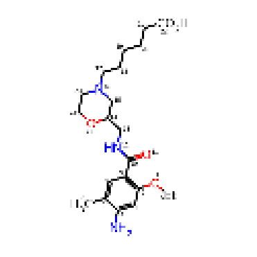 CCOc1cc(N)c(C)cc1C(=O)NCC1CN(CCCCCC(=O)O)CCO1